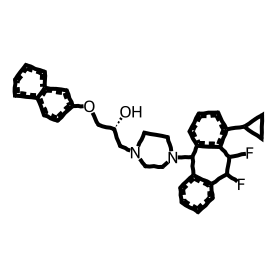 O[C@@H](COc1ccc2ccccc2c1)CN1CCN(C2c3ccccc3C(F)C(F)c3c(C4CC4)cccc32)CC1